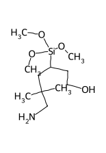 CO[Si](OC)(OC)C(CCO)CC(C)(C)CN